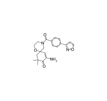 CC1(C)CC2(C=C(N)C1=O)CN(C(=O)c1ccc(-c3ccon3)cc1)CCO2